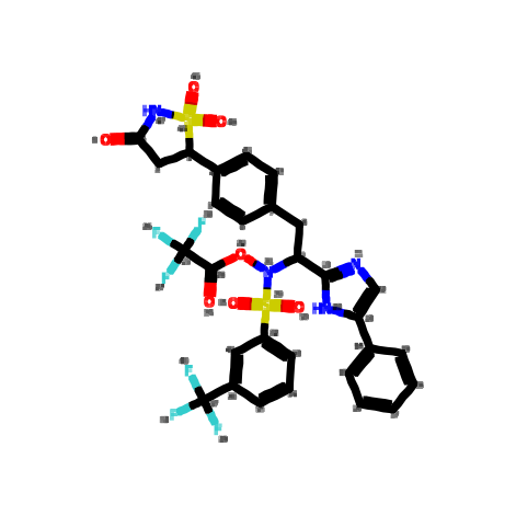 O=C1CC(c2ccc(CC(c3ncc(-c4ccccc4)[nH]3)N(OC(=O)C(F)(F)F)S(=O)(=O)c3cccc(C(F)(F)F)c3)cc2)S(=O)(=O)N1